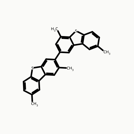 Cc1ccc2sc3cc(-c4cc(C)c5sc6ccc(C)cc6c5c4)c(C)cc3c2c1